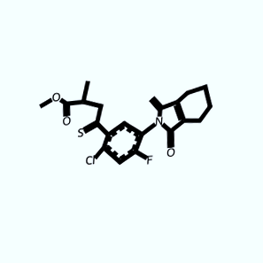 C=C1C2=C(CCCC2)C(=O)N1c1cc(C(=S)CC(C)C(=O)OC)c(Cl)cc1F